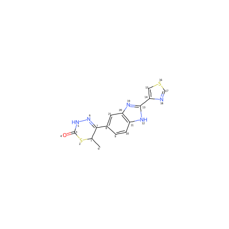 CC1SC(=O)NN=C1c1ccc2[nH]c(-c3cscn3)nc2c1